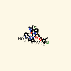 COc1cc(N2C[C@@H](C)n3c(c(CCCOc4cc(C)c(Cl)c(C)c4)c4ccc(Cl)c(-c5c(C)nn(C)c5C)c43)C2=O)c2c(c1)cc(C(=O)O)n2Cc1ccccn1